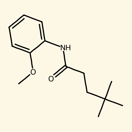 COc1ccccc1NC(=O)CCC(C)(C)C